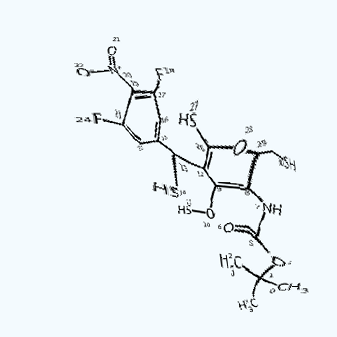 CC(C)(C)OC(=O)NC1=C(OS)C(C(S)c2cc(F)c([N+](=O)[O-])c(F)c2)=C(S)OC1S